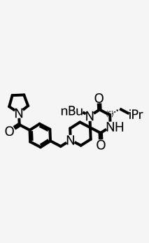 CCCCN1C(=O)[C@H](CC(C)C)NC(=O)C12CCN(Cc1ccc(C(=O)N3CCCC3)cc1)CC2